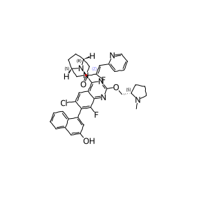 CN1CCC[C@H]1COc1nc(N2C[C@H]3CC[C@@H](C2)N3C(=O)/C(F)=C/c2ccccn2)c2cc(Cl)c(-c3cc(O)cc4ccccc34)c(F)c2n1